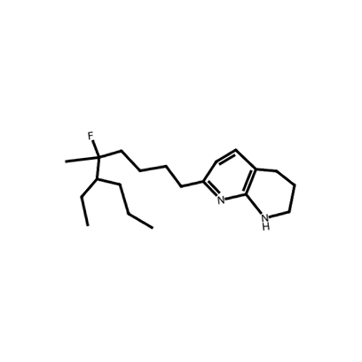 CCCC(CC)C(C)(F)CCCCc1ccc2c(n1)NCCC2